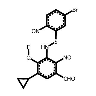 O=Cc1cc(C2CC2)c(OF)c(NSc2cc(Br)ccc2N=O)c1N=O